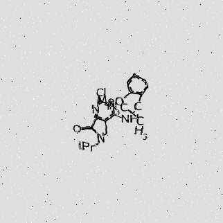 COc1ccccc1CC(C)(C)Nc1nc(Cl)nc2c1CN(C(C)C)C2=O